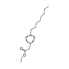 CCCCCCCCc1ccc(CC(=O)OCC)cc1